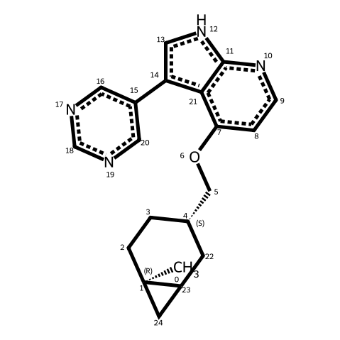 C[C@]12CC[C@H](COc3ccnc4[nH]cc(-c5cncnc5)c34)CC1C2